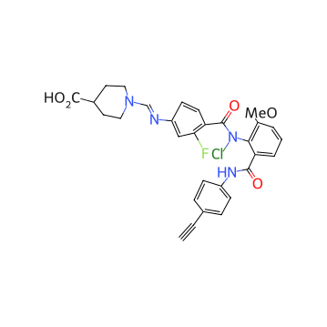 C#Cc1ccc(NC(=O)c2cccc(OC)c2N(Cl)C(=O)c2ccc(N=CN3CCC(C(=O)O)CC3)cc2F)cc1